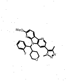 COc1ccc2c3ncc(-c4c(C)nnn4C)cc3n(C(c3ccccc3F)C3CCOCC3)c2n1